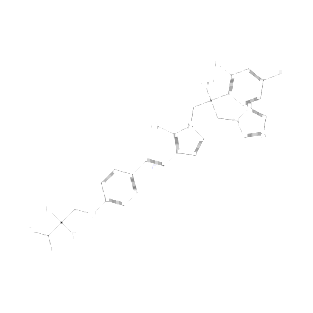 OC(Cn1cncn1)(Cn1ccc(/C=C/c2ccc(OCC(F)(F)C(F)F)cc2)c1Cl)c1ccc(F)cc1F